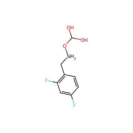 OC(O)O[SiH2]Cc1ccc(F)cc1F